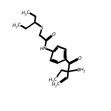 BC(C=C)(CC)C(=O)c1ccc(NC(=O)CSC(CC)CC)cc1